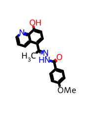 COc1ccc(C(=O)N/N=C(\C)c2ccc(O)c3ncccc23)cc1